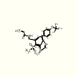 C=CC(=O)NCc1cc(-c2ccc(OC(F)(F)F)cc2)c2ncn(C)c2c1S(C)(=O)=O